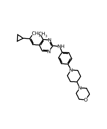 C/C(=C\c1cnc(Nc2ccc(N3CCC(N4CCOCC4)CC3)cc2)nc1C)C1CC1